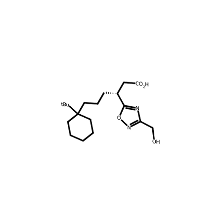 CC(C)(C)C1(CCC[C@H](CC(=O)O)c2nc(CO)no2)CCCCC1